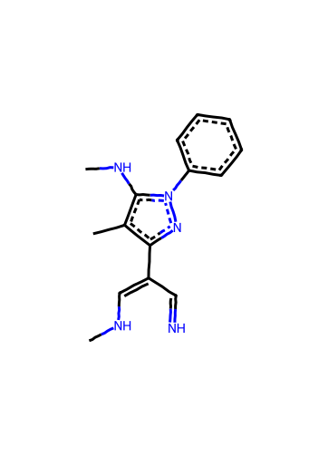 CN/C=C(\C=N)c1nn(-c2ccccc2)c(NC)c1C